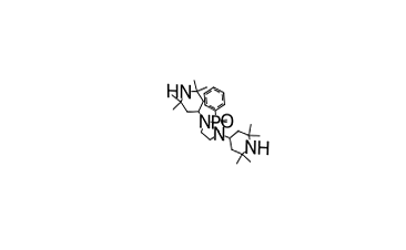 CC1(C)CC(N2CCN(C3CC(C)(C)NC(C)(C)C3)P2(=O)c2ccccc2)CC(C)(C)N1